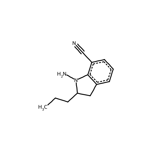 CCCC1Cc2cccc(C#N)c2N1N